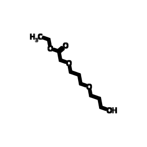 CCOC(=O)COCCCOCCCO